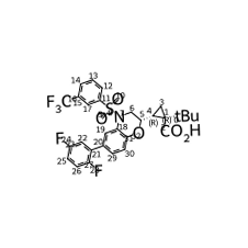 CC(C)(C)[C@@]1(C(=O)O)C[C@H]1C1CN(S(=O)(=O)c2cccc(C(F)(F)F)c2)c2cc(-c3cc(F)ccc3F)ccc2O1